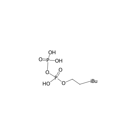 CCC(C)CCOP(=O)(O)OP(=O)(O)O